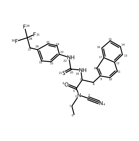 CCN(C#N)C(=O)C(Cc1ccc2ccccc2c1)NC(=S)Nc1ccc(CC(F)(F)F)cc1